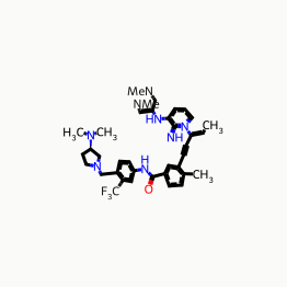 C/C=C(/C#Cc1cc(C(=O)Nc2ccc(CN3CC[C@@H](N(C)C)C3)c(C(F)(F)F)c2)ccc1C)n1cccc(N/C(=C/NC)CNC)c1=N